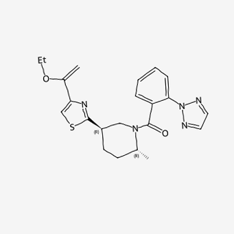 C=C(OCC)c1csc([C@@H]2CC[C@@H](C)N(C(=O)c3ccccc3-n3nccn3)C2)n1